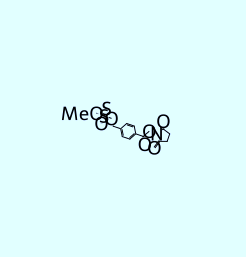 CO[S@](=O)(=S)OCc1ccc(C(=O)ON2C(=O)CCC2=O)cc1